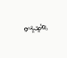 O=C(COc1cccnc1)NCCC1[C@H]2CN(c3nc(Cl)ncc3F)C[C@@H]12